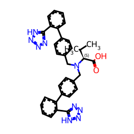 CC(C)[C@@H](C(=O)O)N(Cc1ccc(-c2ccccc2-c2nnn[nH]2)cc1)Cc1ccc(-c2ccccc2-c2nnn[nH]2)cc1